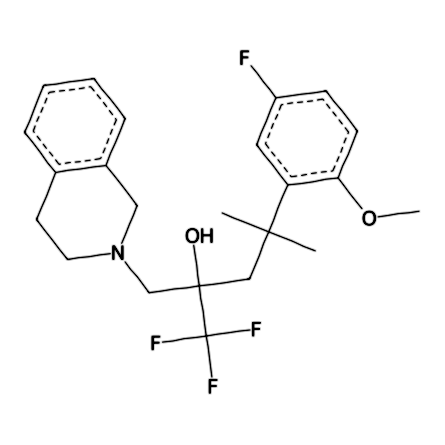 COc1ccc(F)cc1C(C)(C)CC(O)(CN1CCc2ccccc2C1)C(F)(F)F